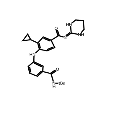 CC(C)(C)NC(=O)c1cccc(Nc2ccc(C(=O)N=C3NCCCN3)cc2C2CC2)c1